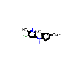 COc1ccc(Nc2cnc(C#N)c(Cl)c2)c(C(F)(F)F)c1